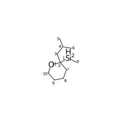 C[SiH2]C1(CC(C)C)CCCCO1